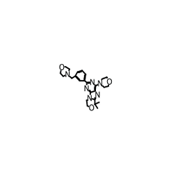 CC1(C)OCCn2c1nc1c(N3CCOCC3)nc(-c3cccc(CN4CCOCC4)c3)nc12